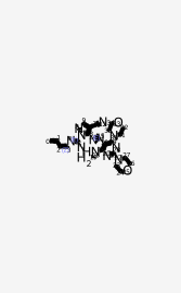 C=C/C=C\N=C(/N)n1ncc(C#N)c1/N=N/c1c(NC)nc(N2CCOCC2)nc1N1CCOCC1